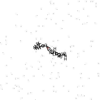 CNC(=O)COc1cc2cc(Nc3nc(N4CCC5(CC4)CC(Oc4ccc(C6=N[C@@H](C)c7nnc(C)n7-c7sc(C)c(C)c76)cc4)C5)ncc3Cl)ccc2n(C)c1=O